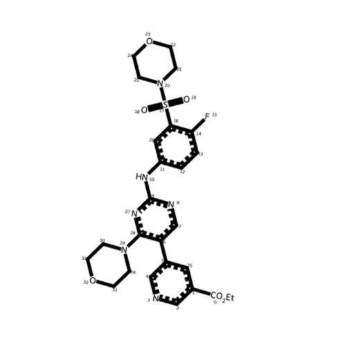 CCOC(=O)c1cncc(-c2cnc(Nc3ccc(F)c(S(=O)(=O)N4CCOCC4)c3)nc2N2CCOCC2)c1